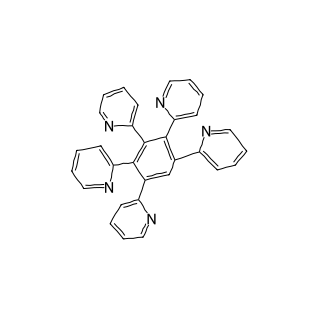 c1ccc(-c2cc(-c3ccccn3)c(-c3ccccn3)c(-c3ccccn3)c2-c2ccccn2)nc1